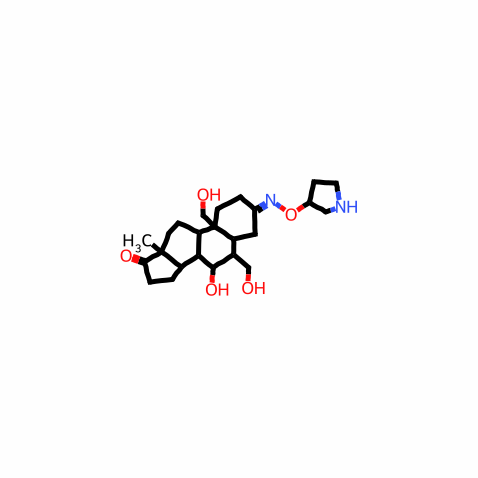 CC12CCC3C(C(O)C(CO)C4CC(=NOC5CCNC5)CCC43CO)C1CCC2=O